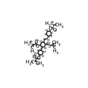 C=C(C)C(=O)Oc1ccc(/C=C/c2cc(OC(=O)C(=C)C)c(-c3ccc(OC(=O)C(=C)C)cc3)cc2OC=C(C)C)cc1